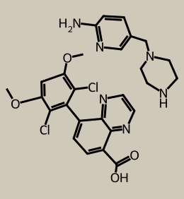 COc1cc(OC)c(Cl)c(-c2ccc(C(=O)O)c3nccnc23)c1Cl.Nc1ccc(CN2CCNCC2)cn1